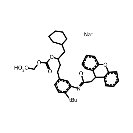 CC(C)(C)c1ccc(CCC(CC2CCCCC2)OC(=O)OCC(=O)O)cc1N=C([O-])CC1c2ccccc2Oc2ccccc21.[Na+]